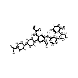 C=CC(=O)Nc1cc(Nc2cc(N3OCC[C@@H]3c3cc(F)ccc3F)ncn2)c(OC)cc1N1CCC(N2CCN(C(C)C)CC2)CC1